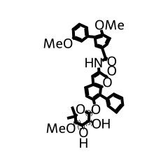 COc1cccc(-c2cc(C(=O)Nc3cc4ccc(O[C@@H]5OC(C)(C)[C@H](OC)[C@@H](O)[C@@H]5O)c(-c5ccccc5)c4oc3=O)ccc2OC)c1